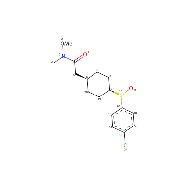 CON(C)C(=O)C[C@H]1CC[C@@H]([S+]([O-])c2ccc(Cl)cc2)CC1